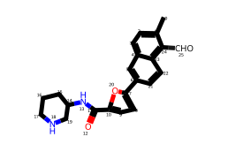 Cc1ccc2cc(-c3ccc(C(=O)NC4CCCNC4)o3)ccc2c1C=O